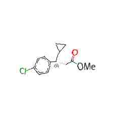 COC(=O)C[C@H](c1ccc(Cl)cc1)C1CC1